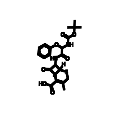 CC1=C(C(=O)O)N2C(=O)C(NC(=O)C(NC(=O)OC(C)(C)C)Oc3ccccc3)[C@@H]2SC1